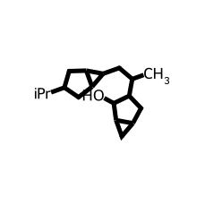 CC(C)C1CC2C(CC(C)C3CC4CC4C3O)C2C1